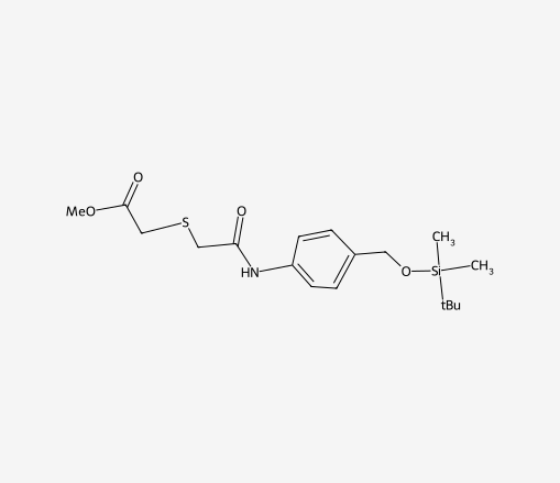 COC(=O)CSCC(=O)Nc1ccc(CO[Si](C)(C)C(C)(C)C)cc1